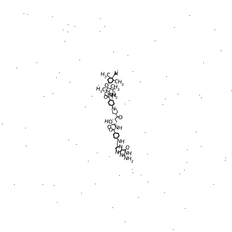 Cc1cc(OC2C(C)(C)C(NC(=O)c3ccc(N4CCC(C(=O)CC[C@H](NC(=O)c5ccc(NCc6cnc7nc(N)[nH]c(=O)c7n6)cc5)C(=O)O)CC4)cc3)C2(C)C)cc(C)c1C#N